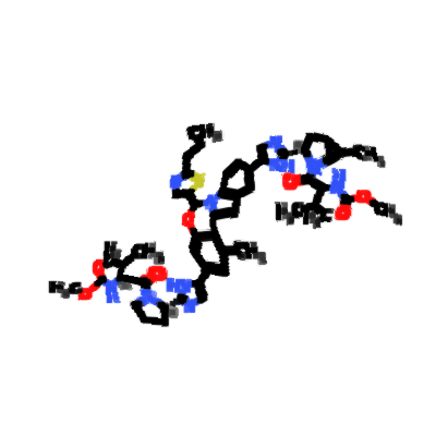 CCCc1ncc(C2Oc3cc(-c4cnc([C@@H]5CCCN5C(=O)[C@@H](NC(=O)OC)C(C)C)[nH]4)cc(C)c3-c3cc4cc(-c5cnc([C@@H]6CC7C(C)C7N6C(=O)C(NC(=O)OC)C(C)C)[nH]5)ccc4n32)s1